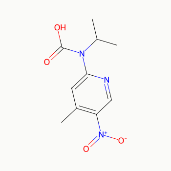 Cc1cc(N(C(=O)O)C(C)C)ncc1[N+](=O)[O-]